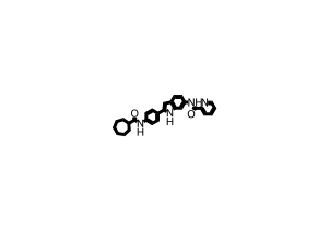 O=C(Nc1ccc2cc(-c3ccc(NC(=O)C4CCCCCC4)cc3)[nH]c2c1)c1ccccn1